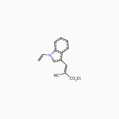 C=Cn1cc(/C=C(\C#N)C(=O)OCC)c2ccccc21